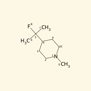 CN1CCC(C(C)(C)F)CC1